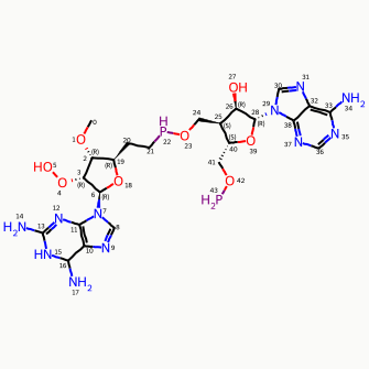 CO[C@H]1[C@@H](OO)[C@H](n2cnc3c2N=C(N)NC3N)O[C@@H]1CCPOC[C@H]1[C@@H](O)[C@H](n2cnc3c(N)ncnc32)O[C@@H]1COP